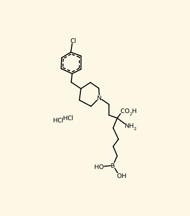 Cl.Cl.NC(CCCCB(O)O)(CCN1CCC(Cc2ccc(Cl)cc2)CC1)C(=O)O